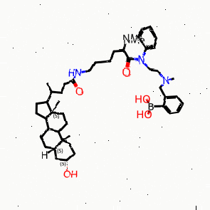 CNC(CCCCNC(=O)CCC(C)C1CCC2C3CC[C@H]4C[C@@H](O)CC[C@@]4(C)C3CC[C@@]12C)C(=O)N(CCN(C)Cc1ccccc1B(O)O)c1ccccc1